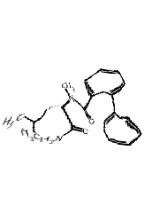 CC(C)C[C@@H](C(N)=O)N(C)C(=O)c1ccccc1-c1ccccc1